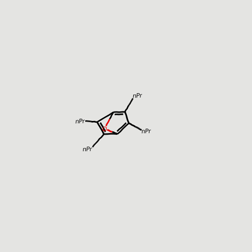 CCCc1c(CCC)c2oc1c(CCC)c2CCC